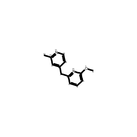 COc1cccc(Cc2ccnc(C)c2)n1